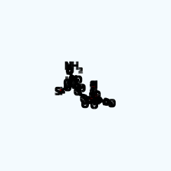 COc1ccc(C2=CN3C(=O)c4cc(OC)c(OCCCOc5cc6c(cc5OC)C(=O)N5C=C(c7ccc(N)cc7)C[C@H]5C(=O)N6COCC[Si](C)(C)C)cc4N(COCC[Si](C)(C)C)C(=O)C3C2)cc1